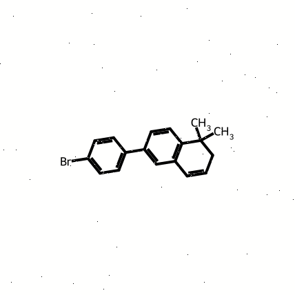 CC1(C)CC=Cc2cc(-c3ccc(Br)cc3)ccc21